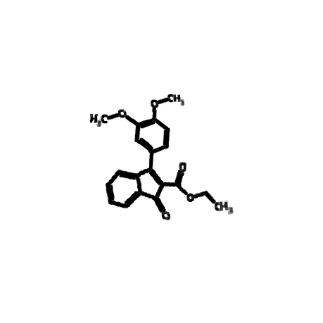 CCOC(=O)C1=C(c2ccc(OC)c(OC)c2)c2ccccc2C1=O